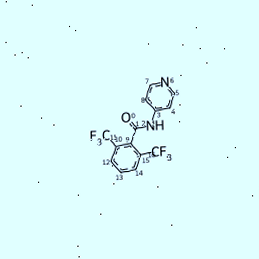 O=C(Nc1ccncc1)c1c(C(F)(F)F)cccc1C(F)(F)F